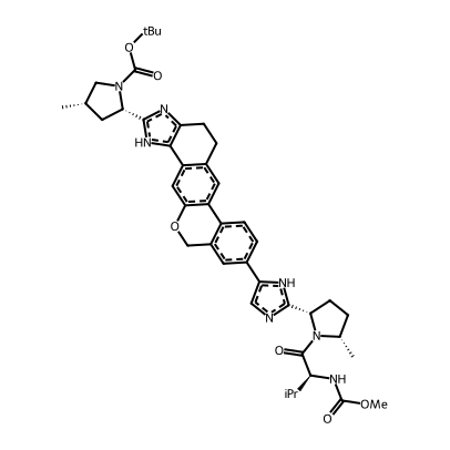 COC(=O)N[C@H](C(=O)N1[C@@H](C)CC[C@H]1c1ncc(-c2ccc3c(c2)COc2cc4c(cc2-3)CCc2nc([C@@H]3C[C@H](C)CN3C(=O)OC(C)(C)C)[nH]c2-4)[nH]1)C(C)C